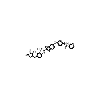 CC(Oc1ccc(CC2SC(=O)NC2=O)cc1)c1nc2ccc(Oc3ccc(NC(=O)c4cccnc4)cc3)cc2[nH]1